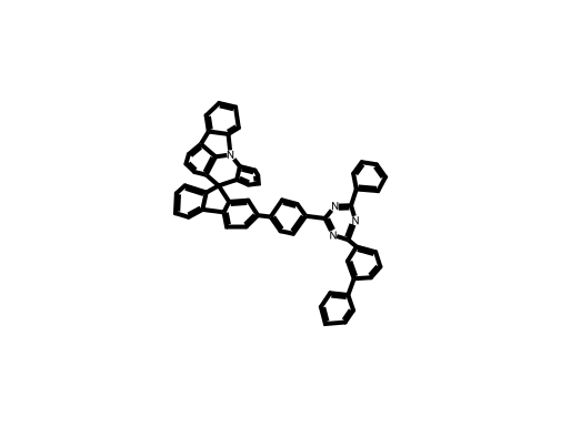 c1ccc(-c2cccc(-c3nc(-c4ccccc4)nc(-c4ccc(-c5ccc6c(c5)C5(c7ccccc7-6)c6ccccc6-n6c7ccccc7c7cccc5c76)cc4)n3)c2)cc1